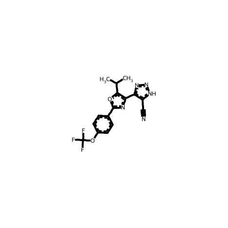 CC(C)c1oc(-c2ccc(OC(F)(F)F)cc2)nc1-c1nn[nH]c1C#N